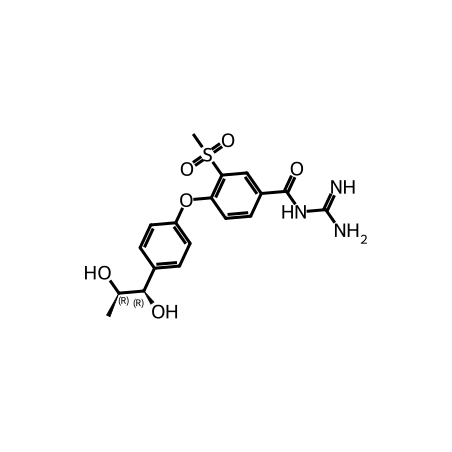 C[C@@H](O)[C@H](O)c1ccc(Oc2ccc(C(=O)NC(=N)N)cc2S(C)(=O)=O)cc1